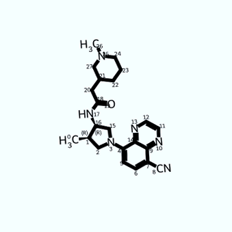 C[C@@H]1CN(c2ccc(C#N)c3nccnc23)C[C@@H]1NC(=O)CC1CCCN(C)C1